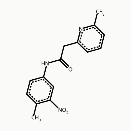 Cc1ccc(NC(=O)Cc2cccc(C(F)(F)F)n2)cc1[N+](=O)[O-]